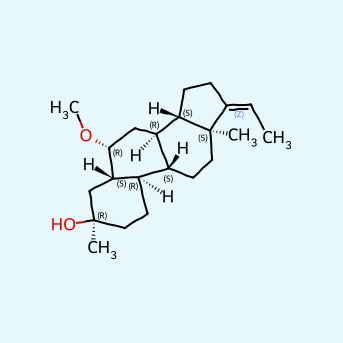 C/C=C1/CC[C@H]2[C@@H]3C[C@@H](OC)[C@H]4C[C@](C)(O)CC[C@@H]4[C@H]3CC[C@]12C